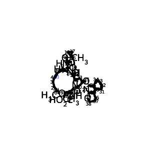 C[C@@H]1CC/C=C\[C@@H]2C[C@@]2(C(=O)NS(=O)(=O)C2(C)CC2)NC(=O)[C@@H]2C[C@@H](Oc3nc4c(c5ccccc35)CCCO4)CN2C(=O)[C@@H](NC(=O)O)[C@H](C)O1